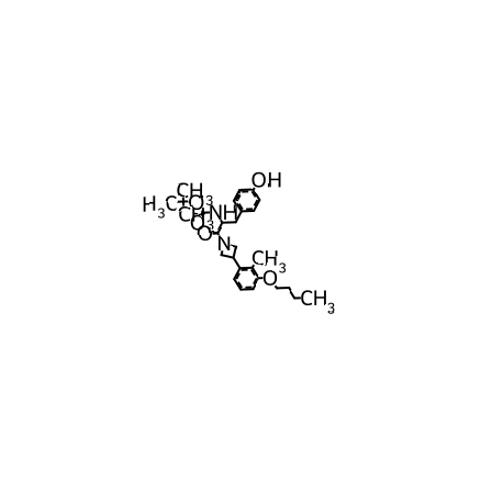 CCCCOc1cccc(C2CN(C(=O)C(Cc3ccc(O)cc3)NC(=O)OC(C)(C)C)C2)c1C